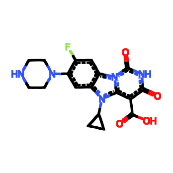 O=C(O)c1c(=O)[nH]c(=O)n2c3cc(F)c(N4CCNCC4)cc3n(C3CC3)c12